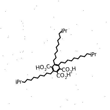 CC(C)CCCCCCCCCc1c(CCCCCCCCCC(C)C)c(C(=O)O)c(C(=O)O)c(CCCCCCCCCC(C)C)c1C(=O)O